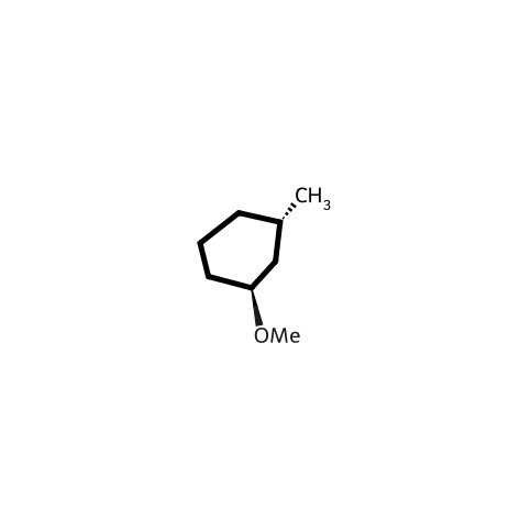 CO[C@H]1CCC[C@H](C)C1